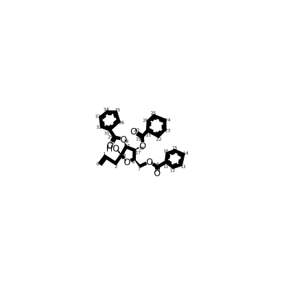 C=CC[C@]1(O)O[C@H](COC(=O)c2ccccc2)[C@@H](OC(=O)c2ccccc2)[C@H]1OC(=O)c1ccccc1